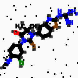 [C-]#[N+]c1ccc(N2C(=O)C(C)(C)N(c3ccc4sc(NC(=N)N)nc4c3)C2=S)cc1Cl